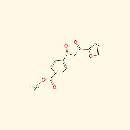 COC(=O)c1ccc(C(=O)CC(=O)c2ccco2)cc1